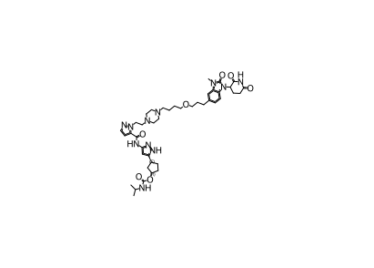 CC(C)NC(=O)O[C@@H]1CC[C@H](c2cc(NC(=O)c3ccnn3CCN3CCN(CCCCOCCCc4ccc5c(c4)n(C)c(=O)n5C4CCC(=O)NC4=O)CC3)n[nH]2)C1